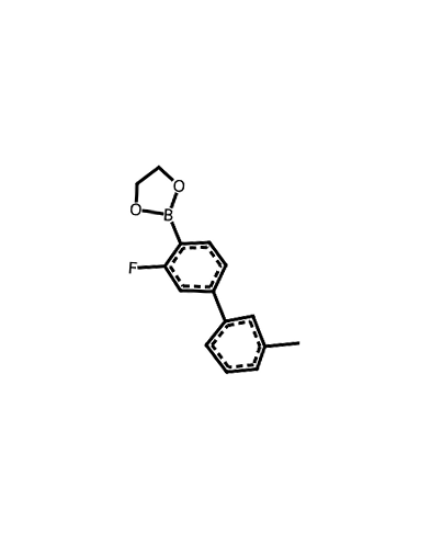 Cc1cccc(-c2ccc(B3OCCO3)c(F)c2)c1